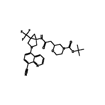 CC(C)(C)OC(=O)N1CCOC(CC(=O)NC23CN(c4ccc(C#N)c5ncccc45)CC2(C(F)(F)F)C3)C1